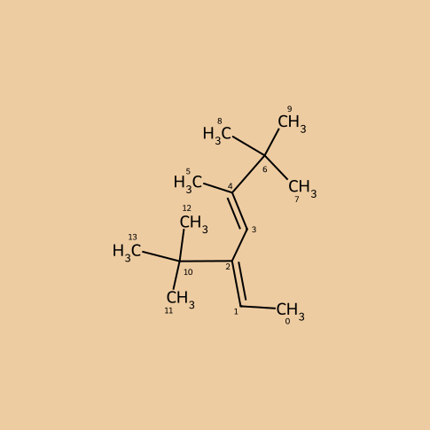 C/C=C(\C=C(/C)C(C)(C)C)C(C)(C)C